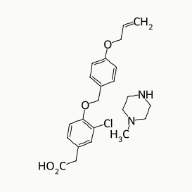 C=CCOc1ccc(COc2ccc(CC(=O)O)cc2Cl)cc1.CN1CCNCC1